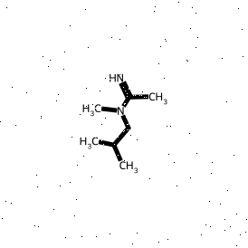 CC(=N)N(C)CC(C)C